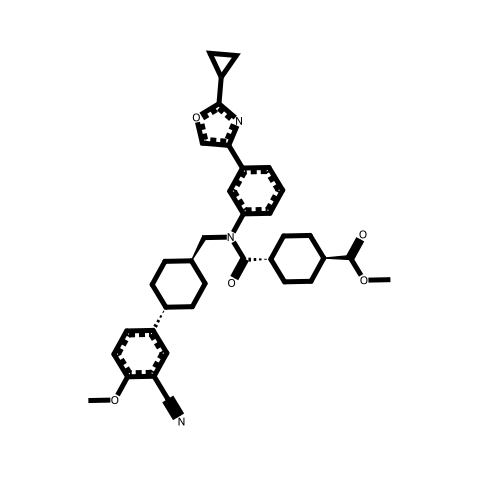 COc1ccc([C@H]2CC[C@H](CN(c3cccc(-c4coc(C5CC5)n4)c3)C(=O)[C@H]3CC[C@H](C(=O)OC)CC3)CC2)cc1C#N